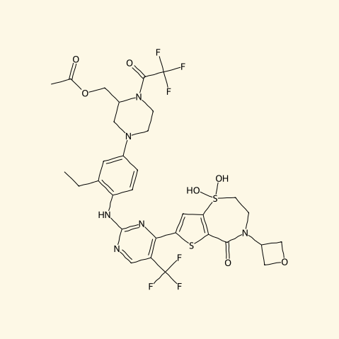 CCc1cc(N2CCN(C(=O)C(F)(F)F)C(COC(C)=O)C2)ccc1Nc1ncc(C(F)(F)F)c(-c2cc3c(s2)C(=O)N(C2COC2)CCS3(O)O)n1